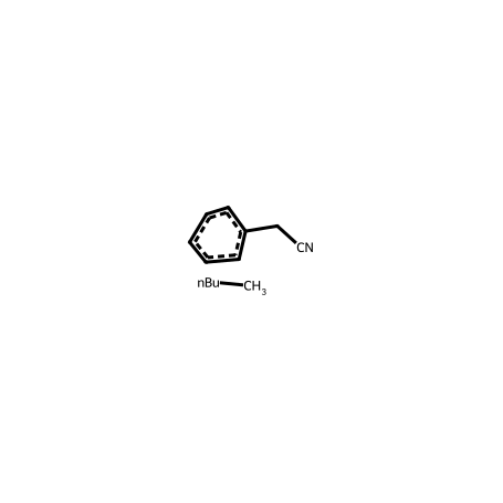 CCCCC.N#CCc1ccccc1